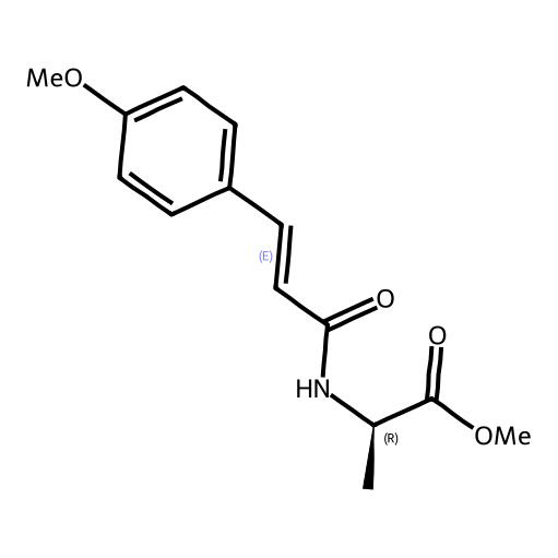 COC(=O)[C@@H](C)NC(=O)/C=C/c1ccc(OC)cc1